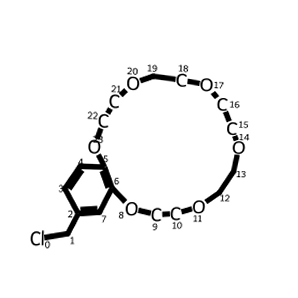 ClCc1ccc2c(c1)OCCOCCOCCOCCOCCO2